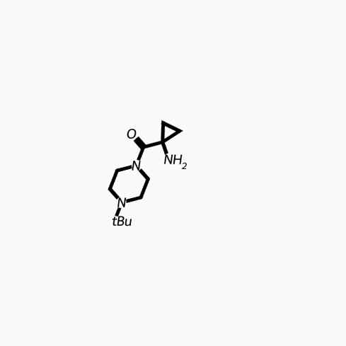 CC(C)(C)N1CCN(C(=O)C2(N)CC2)CC1